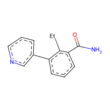 CCc1c(C(N)=O)cccc1-c1cccnc1